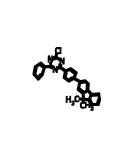 CC1(C)c2ccccc2-c2ccc(-c3ccc(-c4nc(Cl)nc(-c5ccccc5)n4)cc3)cc21